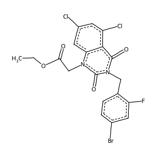 CCOC(=O)Cn1c(=O)n(Cc2ccc(Br)cc2F)c(=O)c2c(Cl)cc(Cl)cc21